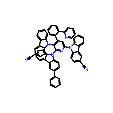 N#Cc1ccc2c(c1)c1ccccc1n2-c1cc(-c2ccccc2-c2ccccn2)c(-n2c3ccccc3c3cc(C#N)ccc32)c(-n2c3ccccc3c3cc(-c4ccccc4)ccc32)n1